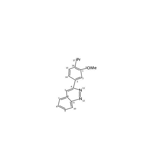 COc1cc(-c2cc3ccccc3nn2)ccc1C(C)C